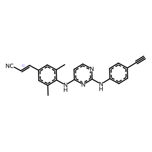 C#Cc1ccc(Nc2nccc(Nc3c(C)cc(/C=C/C#N)cc3C)n2)cc1